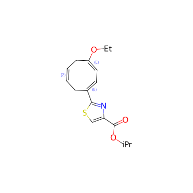 CCO/C1=C/C=C(/c2nc(C(=O)OC(C)C)cs2)C/C=C\C1